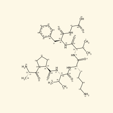 CC(C)[C@H](NC(=O)[C@H](CCCCN)NC(=O)[C@@H](NC(=O)[C@@H]1CCCN1C(=O)[C@H](C)N)C(C)C)C(=O)N[C@@H](Cc1ccccc1)C(=O)NCC(=O)O